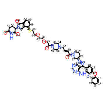 Nc1ncnc2c1c(-c1ccc(Oc3ccccc3)cc1)nn2[C@@H]1CCCN(C(=O)/C=C/CN2CCN(C(=O)COCCOCCSc3cccc4c3CN(C3CCC(=O)NC3=O)C4=O)CC2)C1